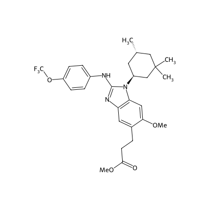 COC(=O)CCc1cc2nc(Nc3ccc(OC(F)(F)F)cc3)n([C@H]3C[C@H](C)CC(C)(C)C3)c2cc1OC